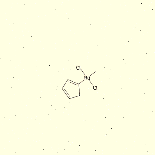 [CH3][Ru]([Cl])([Cl])[C]1=CC=CC1